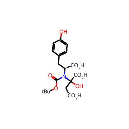 CC(C)(C)OC(=O)N([C@@H](Cc1ccc(O)cc1)C(=O)O)C(O)(CC(=O)O)C(=O)O